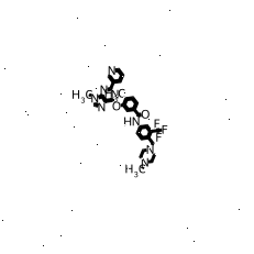 Cc1ccc(C(=O)Nc2ccc(CN3CCN(C)CC3)c(C(F)(F)F)c2)cc1Oc1nc(-c2cccnc2)nc2c1ncn2C